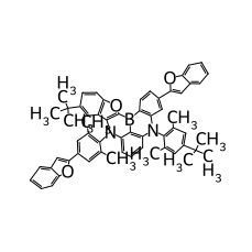 Cc1cc(C(C)(C)C)cc(C)c1N1c2cc(-c3cc4ccccc4o3)ccc2B2c3oc4ccc(C(C)(C)C)cc4c3N(c3c(C)cc(-c4cc5ccccc5o4)cc3C)c3cccc1c32